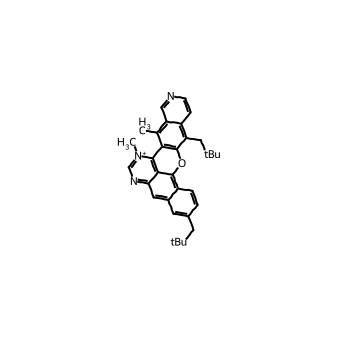 Cc1c2c(c(CC(C)(C)C)c3ccncc13)Oc1c3ccc(CC(C)(C)C)cc3cc3nc[n+](C)c-2c13